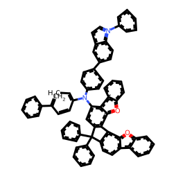 C=C(/C=C\C(=C/C)N(c1ccc(-c2ccc3c(ccn3-c3ccccc3)c2)cc1)c1cc2c(c3oc4ccccc4c13)-c1c(ccc3c1oc1ccccc13)C2(c1ccccc1)c1ccccc1)c1ccccc1